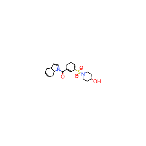 O=C(C1=CC(S(=O)(=O)N2CCC(O)CC2)=CCC1)N1C=CC2CC=CCC21